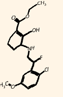 CCOC(=O)C1=C(O)C(NCC(F)c2cc(OC)ccc2Cl)CCC1